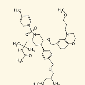 COCCCN1CCOc2ccc(CO[C@H]3CN(S(=O)(=O)c4ccc(C)cc4)[C@@H](CC(C)(C)NC(C)=O)C[C@@H]3c3ccc(COCC(C)COC)cc3)cc21